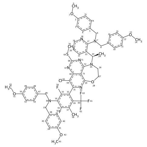 COc1ccc(CN(Cc2ccc(OC)cc2)c2ncccc2[C@@H](C)N2CCOc3nc(-c4c(F)c(N(Cc5ccc(OC)cc5)Cc5ccc(OC)cc5)c(F)c(C)c4C(F)(F)F)c(Cl)c4nc(SC)nc2c34)cc1